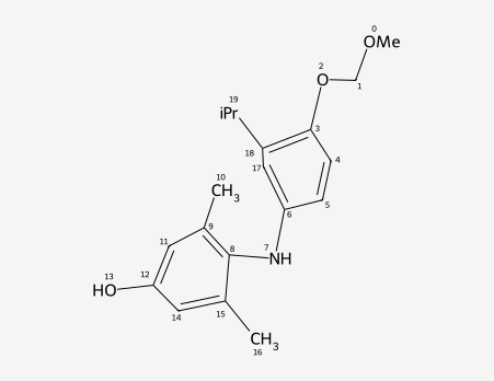 COCOc1ccc(Nc2c(C)cc(O)cc2C)cc1C(C)C